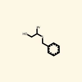 CC(C)C(CO)SCc1ccccc1